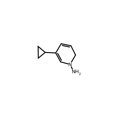 NN1C=C(C2CC2)C=CC1